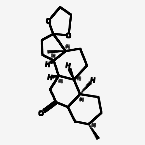 C[C@H]1CC[C@H]2C(C1)C(=O)C[C@@H]1[C@@H]2CC[C@@]2(C)[C@H]1CCC21OCCO1